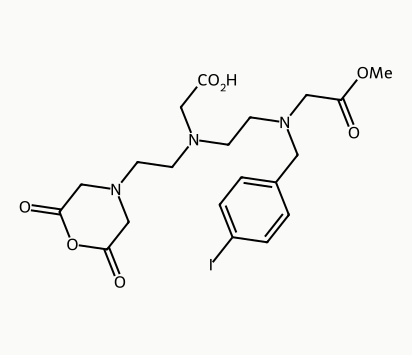 COC(=O)CN(CCN(CCN1CC(=O)OC(=O)C1)CC(=O)O)Cc1ccc(I)cc1